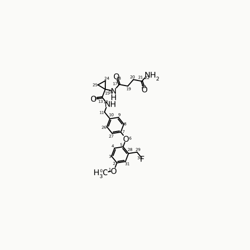 COc1ccc(Oc2ccc(CNC(=O)C3(NC(=O)CCC(N)=O)CC3)cc2)c(CF)c1